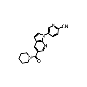 N#Cc1ccc(-n2ccc3cc(C(=O)N4CCCCC4)cnc32)cn1